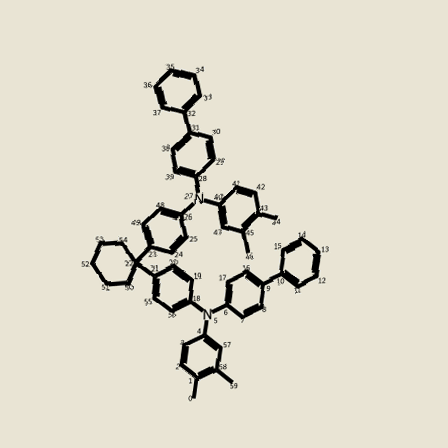 Cc1ccc(N(c2ccc(-c3ccccc3)cc2)c2ccc(C3(c4ccc(N(c5ccc(-c6ccccc6)cc5)c5ccc(C)c(C)c5)cc4)CCCCC3)cc2)cc1C